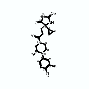 C[C@H]1CN(C(=O)CC[C@]2(C3CC3)NC(=O)NC2=O)CCN1c1ccc(Cl)c(F)c1